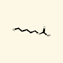 CCCC(=O)OCCCCC[O]